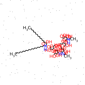 CCCCCCCCCCCCC/C=C/[C@@H](O)[C@H](CO[C@@H]1OC(CO)[C@@H](O[C@@H]2OC(CO)[C@H](O)[C@H](O[C@@H]3OC(CO)[C@@H](O[C@@H]4OC(CO)[C@H](O)[C@H](O[C@@H]5OC(CO)[C@H](O)[C@H](O)C5NC(C)=O)C4O)[C@H](O)C3NC(C)=O)C2O)[C@H](O)C1O)NC(=O)CCCCCCCCCCCCCCCCCCC